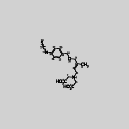 CC(=CCN(CC(=O)O)CC(=O)O)COCc1ccc(N=C=S)cc1